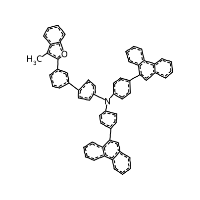 Cc1c(-c2cccc(-c3ccc(N(c4ccc(-c5cc6ccccc6c6ccccc56)cc4)c4ccc(-c5cc6ccccc6c6ccccc56)cc4)cc3)c2)oc2ccccc12